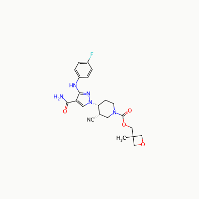 CC1(COC(=O)N2CC[C@@H](n3cc(C(N)=O)c(Nc4ccc(F)cc4)n3)[C@@H](C#N)C2)COC1